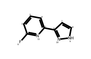 Fc1cccc(-c2cc[nH]n2)n1